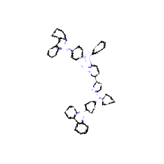 c1ccc(N(c2ccc(-n3c4ccccc4c4ccccc43)cc2)c2ccc(-c3ccc(N(c4ccccc4)c4ccc(-n5c6ccccc6c6ccccc65)cc4)nc3)cn2)cc1